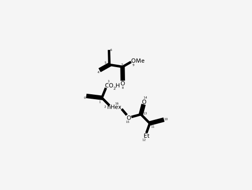 C=C(C)C(=O)O.C=C(C)C(=O)OC.C=C(CC)C(=O)OCCCCCC